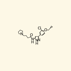 O=C(CCCN1CCCC1)Nc1cc(-c2ccc(OCC3CC3)c(Cl)c2)n[nH]1